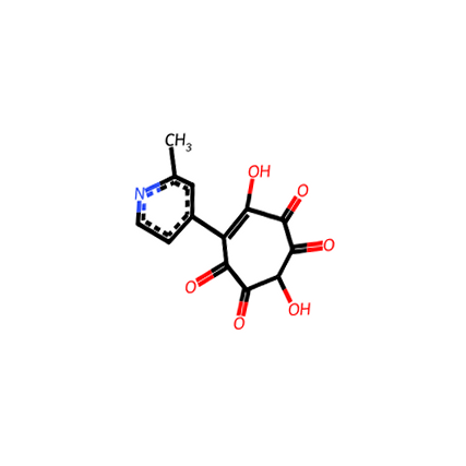 Cc1cc(C2=C(O)C(=O)C(=O)C(O)C(=O)C2=O)ccn1